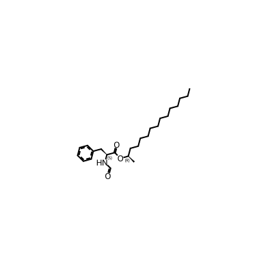 CCCCCCCCCCCCC[C@@H](C)OC(=O)[C@H](Cc1ccccc1)NC=O